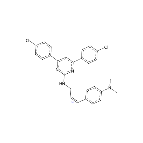 CN(C)c1ccc(/C=C\CNc2nc(-c3ccc(Cl)cc3)cc(-c3ccc(Cl)cc3)n2)cc1